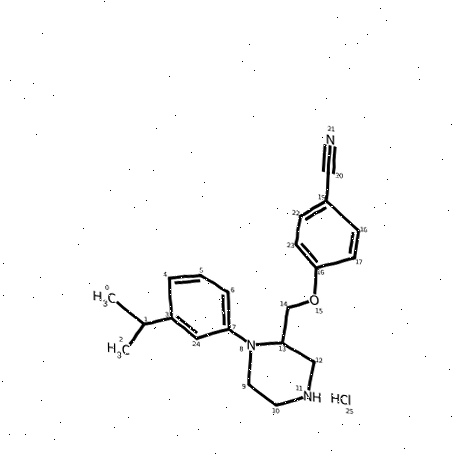 CC(C)c1cccc(N2CCNCC2COc2ccc(C#N)cc2)c1.Cl